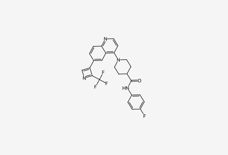 O=C(Nc1ccc(F)cc1)C1CCN(c2ccnc3ccc(C4=CN=C4C(F)(F)F)cc23)CC1